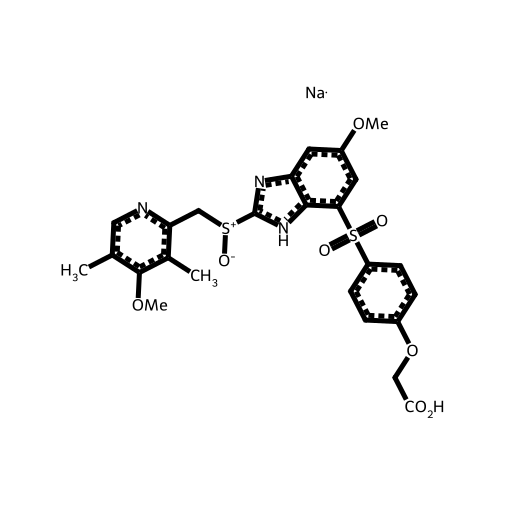 COc1cc(S(=O)(=O)c2ccc(OCC(=O)O)cc2)c2[nH]c([S+]([O-])Cc3ncc(C)c(OC)c3C)nc2c1.[Na]